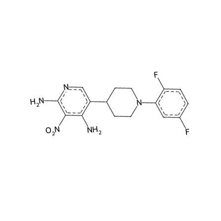 Nc1ncc(C2CCN(c3cc(F)ccc3F)CC2)c(N)c1[N+](=O)[O-]